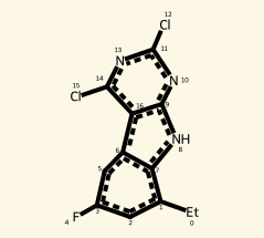 CCc1cc(F)cc2c1[nH]c1nc(Cl)nc(Cl)c12